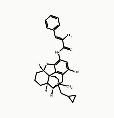 C[N+]1(CC2CC2)CC[C@]23c4c5c(O)cc(NC(=O)C(=Cc6ccccc6)C(F)(F)F)c4O[C@H]2CCC[C@H]3[C@H]1C5